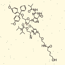 COc1ccc(C(OCC2OC(n3cnc4c(=O)[nH]c(NC(=O)C(C)C)nc43)[C@H](OCc3cn(CCOCCNC(=O)CCCCO)nn3)[C@@H]2OP(OCCC#N)N(C(C)C)C(C)C)(c2ccccc2)c2ccc(OC)cc2)cc1